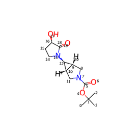 CC(C)(C)OC(=O)N1C[C@@H]2[C@H](C1)[C@H]2N1CC[C@@H](O)C1=O